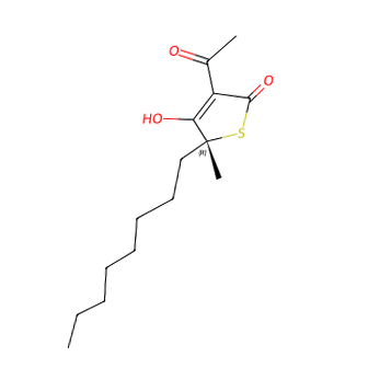 CCCCCCCC[C@@]1(C)SC(=O)C(C(C)=O)=C1O